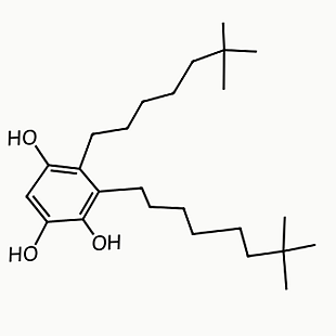 CC(C)(C)CCCCCCc1c(O)c(O)cc(O)c1CCCCCC(C)(C)C